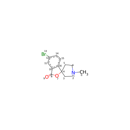 CN1CCC2(CC1)OC(=O)c1cc(Br)ccc12